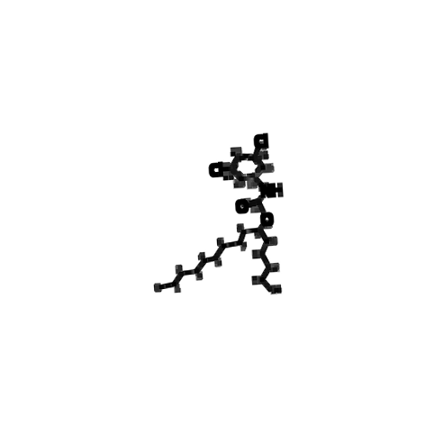 CCCCCCCCCC(CCCCC)OC(=O)Nc1cc(Cl)cc(Cl)c1